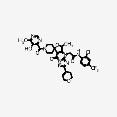 Cc1ncnc(C(=O)N2CCC3(CC2)OC(C)c2c3c(=O)n3nc(C4=CCOCC4)nc3n2CC(=O)Nc2ccc(C(F)(F)F)cc2Cl)c1O